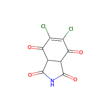 O=C1NC(=O)C2C(=O)C(Cl)=C(Cl)C(=O)C12